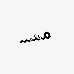 CCCCCOCC(O)COCc1ccccc1